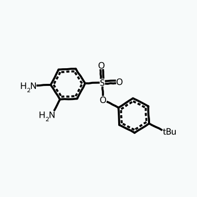 CC(C)(C)c1ccc(OS(=O)(=O)c2ccc(N)c(N)c2)cc1